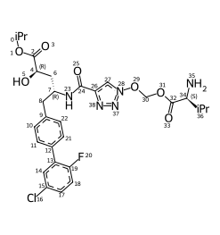 CC(C)OC(=O)[C@H](O)C[C@@H](Cc1ccc(-c2cc(Cl)ccc2F)cc1)NC(=O)c1cn(OCOC(=O)[C@@H](N)C(C)C)nn1